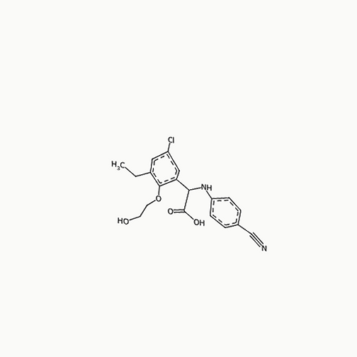 CCc1cc(Cl)cc(C(Nc2ccc(C#N)cc2)C(=O)O)c1OCCO